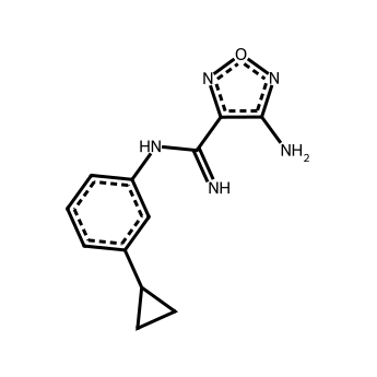 N=C(Nc1cccc(C2CC2)c1)c1nonc1N